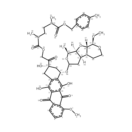 COc1cccc2c1C(=O)c1c(O)c3c(c(O)c1C2=O)C[C@@](O)(C(=O)COC(=O)N(C)CCN(C)C(=O)OCc1ccc(C)cc1)C[C@@H]3OC1C[C@H]2[C@H](O[C@@H]3[C@@H](OC)OCCN32)[C@H](C)O1